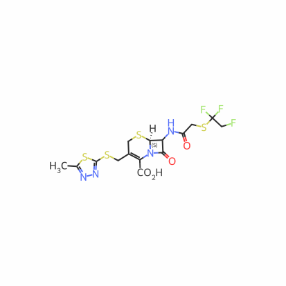 Cc1nnc(SCC2=C(C(=O)O)N3C(=O)C(NC(=O)CSC(F)(F)CF)[C@@H]3SC2)s1